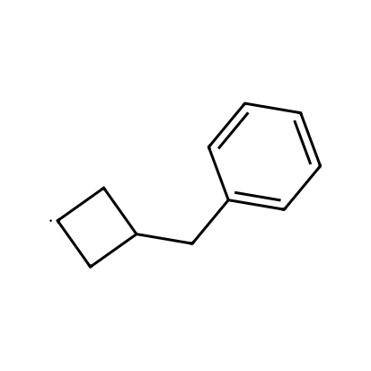 [CH]1CC(Cc2ccccc2)C1